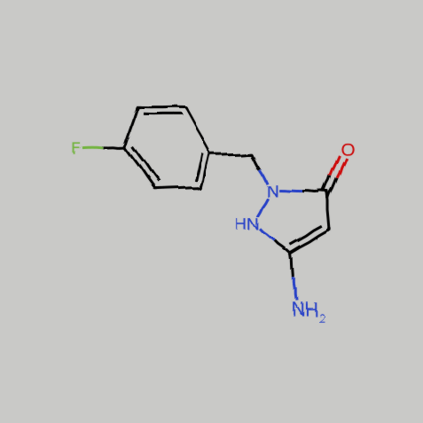 Nc1cc(=O)n(Cc2ccc(F)cc2)[nH]1